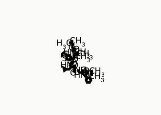 CC(C)COC(=O)N[C@H](C(=O)N1CC2(C[C@H]1C(=O)NC(CC1CC1)C(=O)C(=O)NCC(=O)NC(C(=O)N(C)C)c1ccccc1)SCCCS2)C(C)(C)C